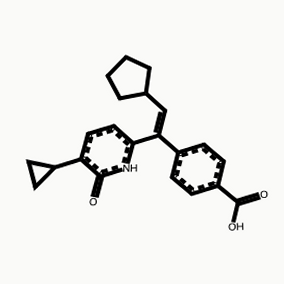 O=C(O)c1ccc(C(=CC2CCCC2)c2ccc(C3CC3)c(=O)[nH]2)cc1